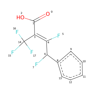 O=C(O)C(=C(F)C(F)c1ccccc1)C(F)(F)F